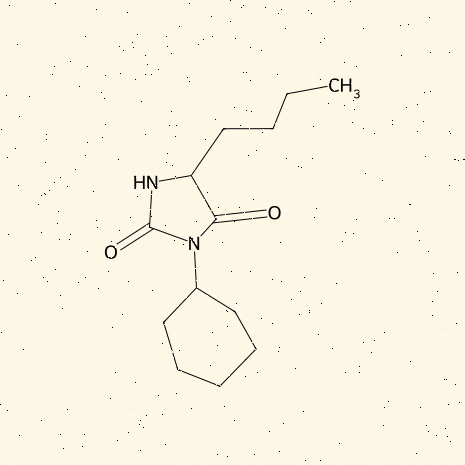 CCCCC1NC(=O)N(C2CCCCC2)C1=O